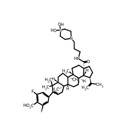 C=C(C)[C@@H]1CC[C@]2(C(=O)NCCCN3CCS(O)(O)CC3)CC[C@]3(C)[C@H](CC[C@@H]4[C@@]5(C)CC=C(c6cc(F)c(C(=O)O)c(F)c6)C(C)(C)[C@@H]5CC[C@]43C)[C@@H]12